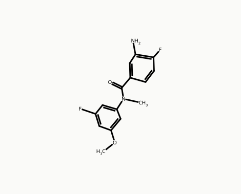 COc1cc(F)cc(N(C)C(=O)c2ccc(F)c(N)c2)c1